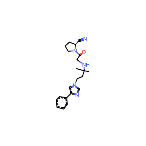 CC(C)(CCn1cnc(-c2ccccc2)c1)NCC(=O)N1CCC[C@H]1C#N